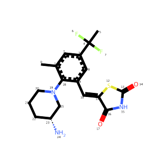 Cc1cc(C(C)(F)F)cc(/C=C2\SC(=O)NC2=O)c1N1CCC[C@@H](N)C1